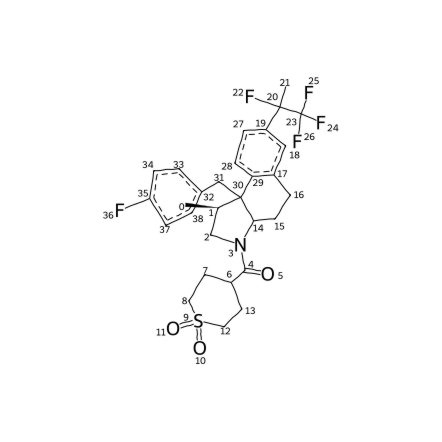 C[C@@H]1CN(C(=O)C2CCS(=O)(=O)CC2)C2CCc3cc(C(C)(F)C(F)(F)F)ccc3C21Cc1ccc(F)cc1